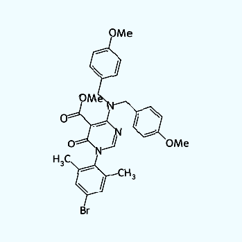 COC(=O)c1c(N(Cc2ccc(OC)cc2)Cc2ccc(OC)cc2)ncn(-c2c(C)cc(Br)cc2C)c1=O